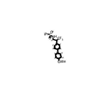 COc1ccc(-c2ccc(C(CNS(=O)(=O)C(C)C)C(F)(F)F)cc2)cc1